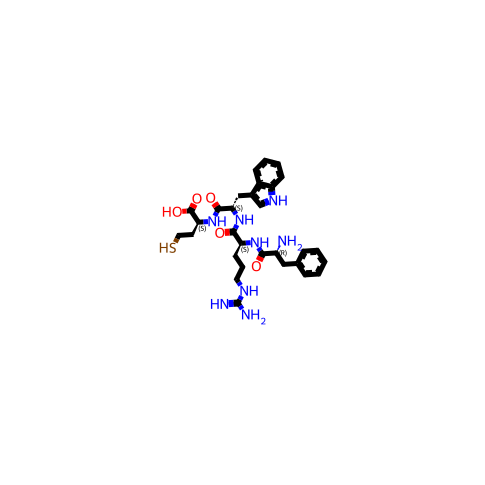 N=C(N)NCCC[C@H](NC(=O)[C@H](N)Cc1ccccc1)C(=O)N[C@@H](Cc1c[nH]c2ccccc12)C(=O)N[C@@H](CCS)C(=O)O